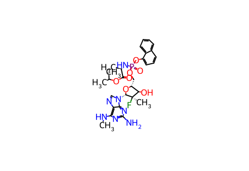 CNc1nc(N)nc2c1ncn2[C@@H]1O[C@H](COP(=O)(N[C@H](C)C(=O)OC(C)C)Oc2cccc3ccccc23)[C@@H](O)[C@@]1(C)F